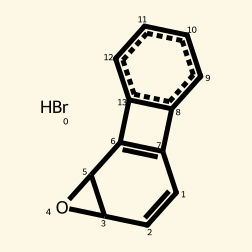 Br.C1=CC2OC2C2=C1c1ccccc12